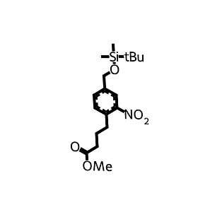 COC(=O)CCCc1ccc(CO[Si](C)(C)C(C)(C)C)cc1[N+](=O)[O-]